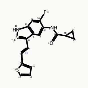 O=C(Nc1cc2c(/C=C/c3cccs3)n[nH]c2cc1F)C1CC1